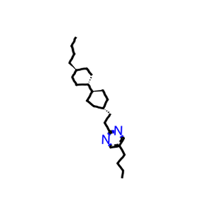 CCCCc1cnc(CC[C@H]2CC[C@H]([C@H]3CC[C@H](CCCC)CC3)CC2)nc1